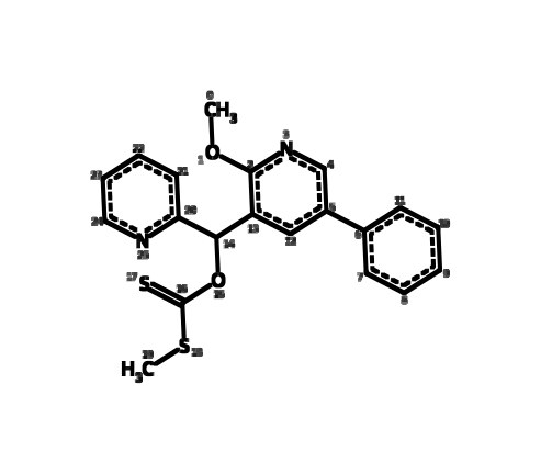 COc1ncc(-c2ccccc2)cc1C(OC(=S)SC)c1ccccn1